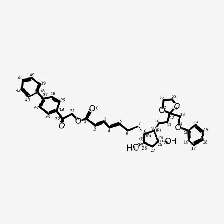 O=C(C=CC=CCC[C@@H]1[C@@H](CCC2(COc3ccccc3)OCCO2)[C@H](O)C[C@@H]1O)OCC(=O)c1ccc(-c2ccccc2)cc1